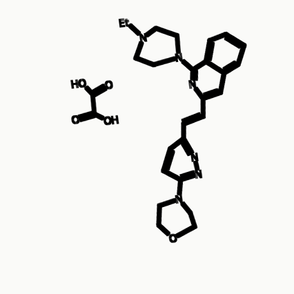 CCN1CCN(c2nc(C=Cc3ccc(N4CCOCC4)nn3)cc3ccccc23)CC1.O=C(O)C(=O)O